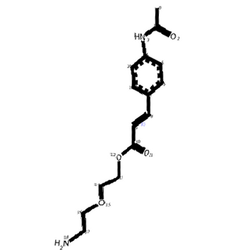 CC(=O)Nc1ccc(/C=C/C(=O)OCCOCCN)cc1